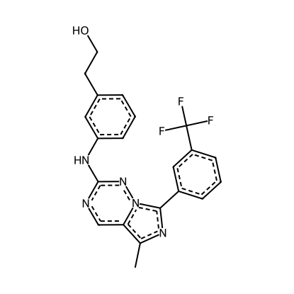 Cc1nc(-c2cccc(C(F)(F)F)c2)n2nc(Nc3cccc(CCO)c3)ncc12